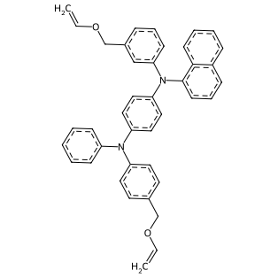 C=COCc1ccc(N(c2ccccc2)c2ccc(N(c3cccc(COC=C)c3)c3cccc4ccccc34)cc2)cc1